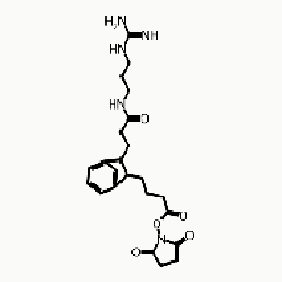 N=C(N)NCCCNC(=O)CCC1c2cccc(c2)C1CCCC(=O)ON1C(=O)CCC1=O